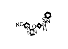 N#CC1CCN(c2nccnc2O[C@H]2C[C@H](Nc3nc4ccccc4s3)C2)C1